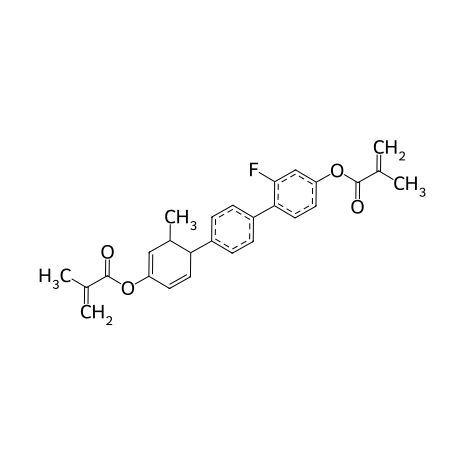 C=C(C)C(=O)OC1=CC(C)C(c2ccc(-c3ccc(OC(=O)C(=C)C)cc3F)cc2)C=C1